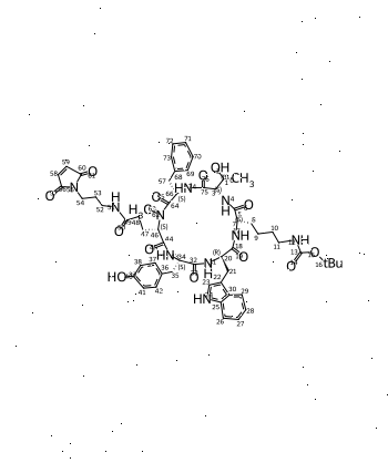 C[C@@H](O)[C@@H]1NC(=O)[C@H](CCCCNC(=O)OC(C)(C)C)NC(=O)[C@@H](Cc2c[nH]c3ccccc23)NC(=O)[C@H](Cc2ccc(O)cc2)NC(=O)[C@H](CCC(=O)NCCCN2C(=O)C=CC2=O)N(C)C(=O)[C@H](Cc2ccccc2)NC1=O